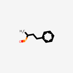 CC(CCc1ccccc1)P=O